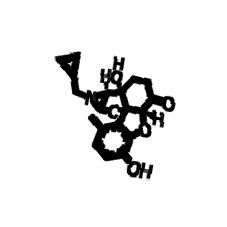 Cc1ccc(O)c2c1[C@]13CC4[C@@H](N4CC4CC4)[C@]1(O)CCC(=O)[C@@H]3O2